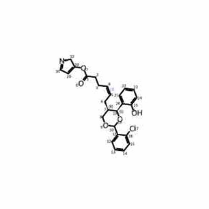 O=C(CC/C=C\C[C@@H]1COC(c2ccccc2Cl)O[C@@H]1c1ccccc1O)OC1=CC=NC1